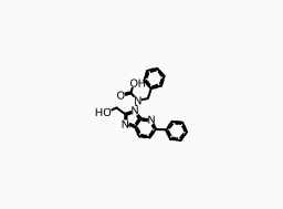 O=C(O)N(Cc1ccccc1)n1c(CO)nc2ccc(-c3ccccc3)nc21